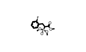 COC(=O)C(Cc1ccccc1F)P(=O)(OC)OC